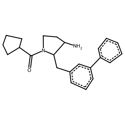 NC1CCN(C(=O)C2CCCC2)C1Cc1cccc(-c2ccccc2)c1